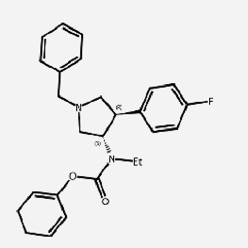 CCN(C(=O)OC1=CCCC=C1)[C@@H]1CN(Cc2ccccc2)C[C@H]1c1ccc(F)cc1